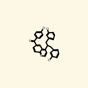 O=C(c1ccc(Cl)cc1)c1ccc2nccc(C(Cc3cccc(Cl)c3)Cc3cccc(Cl)c3)c2c1